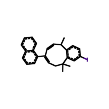 CC1/C=C\C(c2cccc3ccccc23)=C/CC(C)(C)c2cc(I)ccc21